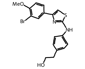 COc1ccc(-c2csc(Nc3ccc(CCO)cc3)n2)cc1Br